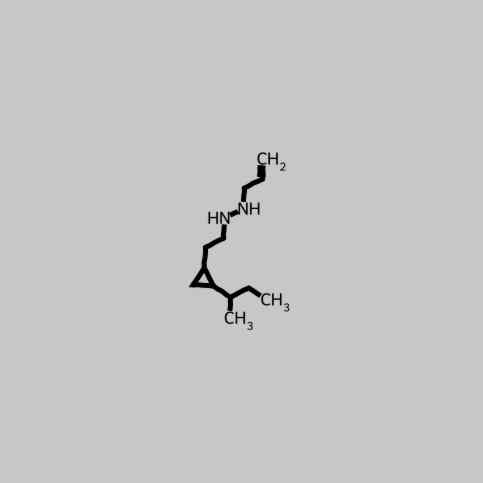 C=CCNNCCC1CC1C(C)CC